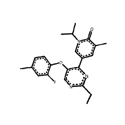 CCc1ncc(Oc2ccc(C)cc2F)c(-c2cc(C)c(=O)n(C(C)C)c2)n1